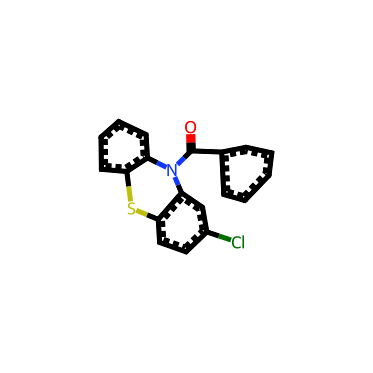 O=C(c1ccccc1)N1c2ccccc2Sc2ccc(Cl)cc21